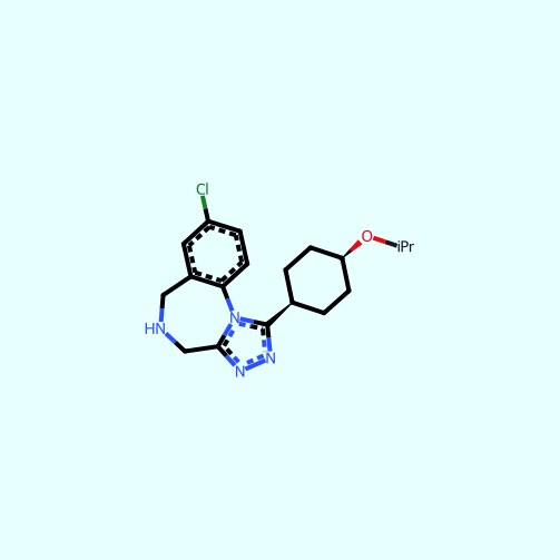 CC(C)O[C@H]1CC[C@@H](c2nnc3n2-c2ccc(Cl)cc2CNC3)CC1